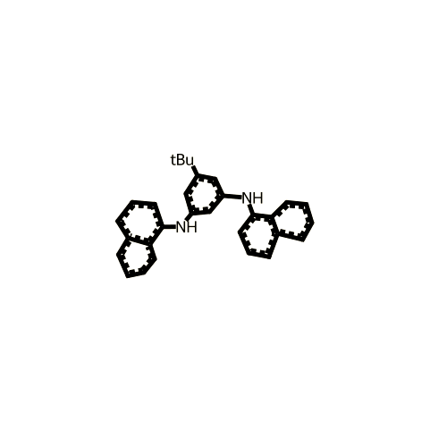 CC(C)(C)c1cc(Nc2cccc3ccccc23)cc(Nc2cccc3ccccc23)c1